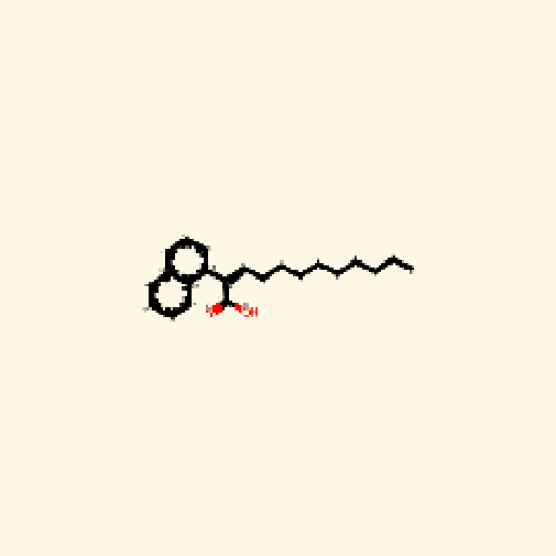 CCCCCCCCCC=C(C(=O)O)c1cccc2ccccc12